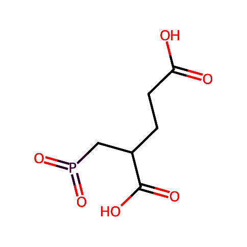 O=C(O)CCC(CP(=O)=O)C(=O)O